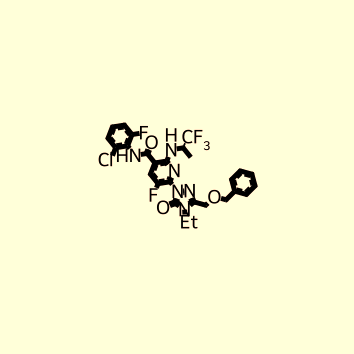 CCn1c(COCc2ccccc2)nn(-c2nc(N[C@@H](C)C(F)(F)F)c(C(=O)Nc3c(F)cccc3Cl)cc2F)c1=O